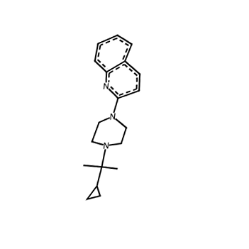 CC(C)(C1CC1)N1CCN(c2ccc3ccccc3n2)CC1